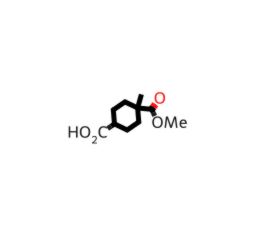 COC(=O)C1(C)CCC(C(=O)O)CC1